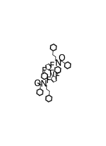 O=C(c1ccccc1)N(CCCc1ccccc1)c1ccc(F)[c]([Ti]([c]2c(F)ccc(N(CCCc3ccccc3)C(=O)c3ccccc3)c2F)([CH]2C=CC=C2)[CH]2C=CC=C2)c1F